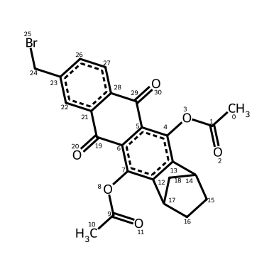 CC(=O)Oc1c2c(c(OC(C)=O)c3c1C1CCC3C1)C(=O)c1cc(CBr)ccc1C2=O